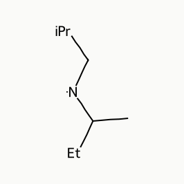 CCC(C)[N]CC(C)C